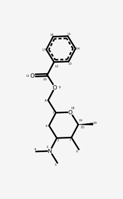 CC1C(N(C)C)CC(COC(=O)c2ccccc2)O[C@H]1C